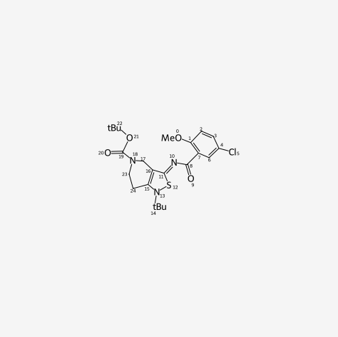 COc1ccc(Cl)cc1C(=O)/N=c1\sn(C(C)(C)C)c2c1CN(C(=O)OC(C)(C)C)CC2